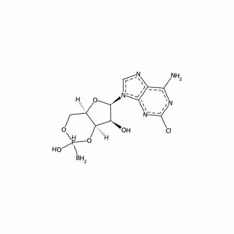 B[PH]1(O)OC[C@H]2O[C@@H](n3cnc4c(N)nc(Cl)nc43)[C@@H](O)[C@H]2O1